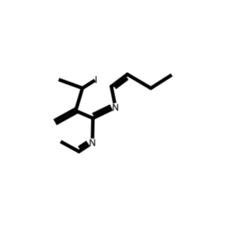 C=C(C(/N=C\C)=N\C=C/CC)C(C)I